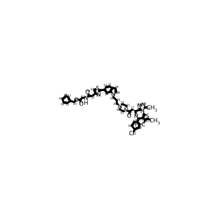 Cc1sc2c(c1C)C(c1ccc(Cl)cc1)=N[C@@H](CC(=O)N1CCN(CCCn3ccc4ccc(-c5nc(CC(=O)NCC(=O)OCc6ccccc6)cs5)cc43)CC1)c1nnc(C)n1-2